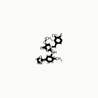 COc1cn(Cc2ccc(F)c(Cl)c2)c(Nc2cc(-c3ncco3)ccc2C)nc1=O